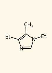 CCc1ncn(CC)c1C